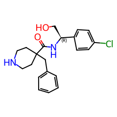 O=C(N[C@@H](CO)c1ccc(Cl)cc1)C1(Cc2ccccc2)CCNCC1